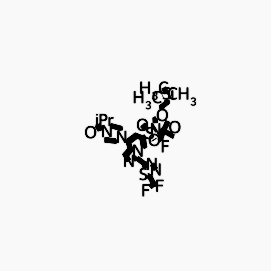 CC(C)C(=O)N1CCN(c2cc(S(=O)(=O)N(COCC[Si](C)(C)C)C3(CF)COC3)cn3c(-c4nnc(C(F)F)s4)ncc23)CC1